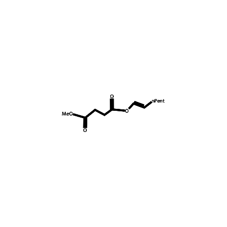 CCCCCC=COC(=O)CCC(=O)OC